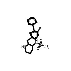 CS(=O)(=O)NC1CCCNC1Cc1ccc(F)c(-c2ccccc2)c1